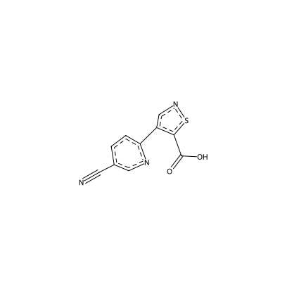 N#Cc1ccc(-c2cnsc2C(=O)O)nc1